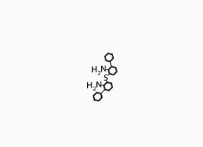 Nc1c(Sc2cccc(-c3ccccc3)c2N)cccc1-c1ccccc1